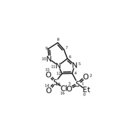 CCS(=O)(=O)c1nc2cccnn2c1S(=O)(=O)Cl